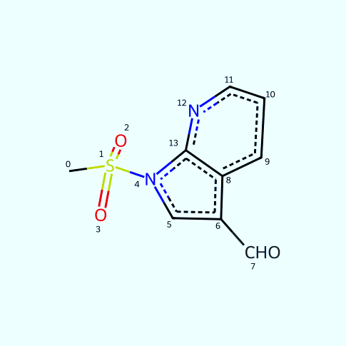 CS(=O)(=O)n1cc(C=O)c2cccnc21